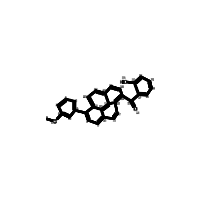 COc1cccc(-c2ccc3ccc4c(C(=O)c5ccccc5O)ccc5ccc2c3c54)c1